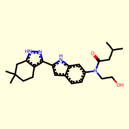 CC(C)CC(=O)N(CCO)c1ccc2cc(-c3n[nH]c4c3CCC(C)(C)C4)[nH]c2c1